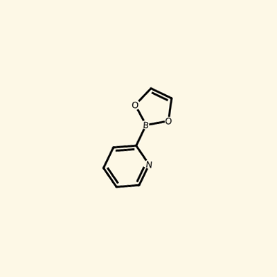 C1=COB(c2ccccn2)O1